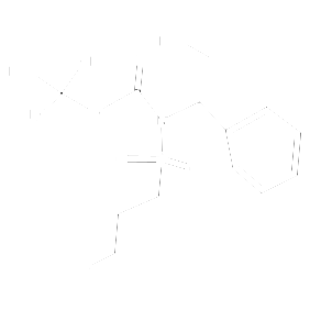 CC[C@H](c1ccccc1)N(C(=O)OC(C)(C)C)S(=O)(=O)CCCO